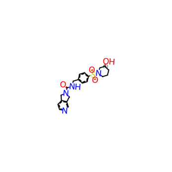 O=C(NCc1ccc(S(=O)(=O)N2CCC[C@H](O)C2)cc1)N1Cc2ccncc2C1